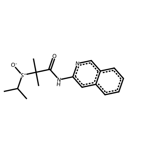 CC(C)[S+]([O-])C(C)(C)C(=O)Nc1cc2ccccc2cn1